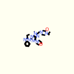 CCc1nc2ccccc2n1-c1nc(N2CCOCC2)c2nc(CN3CCN(C(C)C)C(=O)C3)n(C)c2n1